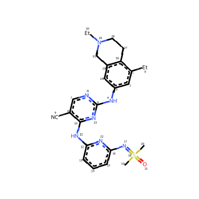 CCc1cc(Nc2ncc(C#N)c(Nc3cccc(N=S(C)(C)=O)n3)n2)cc2c1CCN(CC)C2